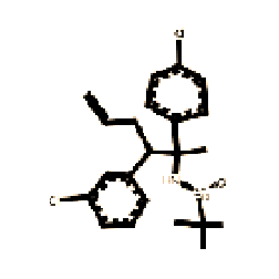 C=CCC(c1cccc(Cl)c1)C(C)(N[S@+]([O-])C(C)(C)C)c1ccc(Cl)cc1